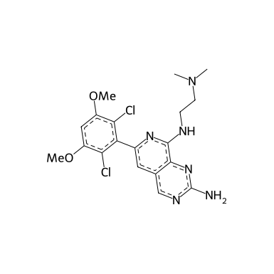 COc1cc(OC)c(Cl)c(-c2cc3cnc(N)nc3c(NCCN(C)C)n2)c1Cl